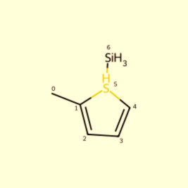 CC1=CC=C[SH]1[SiH3]